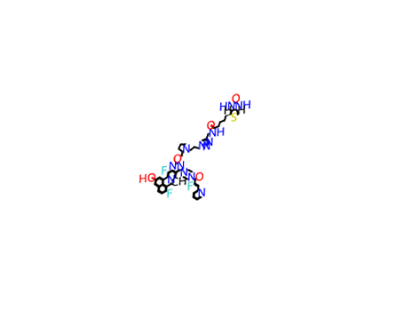 C#Cc1c(F)ccc2cc(O)cc(-c3ncc4c(N5CCN(C(=O)/C(F)=C/c6ccccn6)CC5)nc(OCC5CCCN5CCCn5cc(CNC(=O)CCCC[C@@H]6SC[C@@H]7NC(=O)N[C@@H]76)nn5)nc4c3F)c12